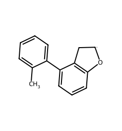 Cc1ccccc1-c1cccc2c1C[CH]O2